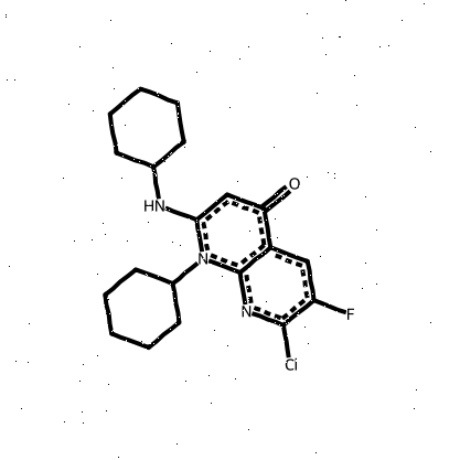 O=c1cc(NC2CCCCC2)n(C2CCCCC2)c2nc(Cl)c(F)cc12